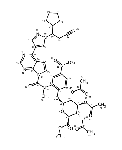 COC(=O)[C@H]1O[C@@H](Oc2ccc([N+](=O)[O-])cc2N(C)C(=O)n2ccc3c(-c4cnn(C(CC#N)C5CCCC5)c4)ncnc32)[C@H](OC(C)=O)[C@@H](OC(C)=O)[C@@H]1OC(C)=O